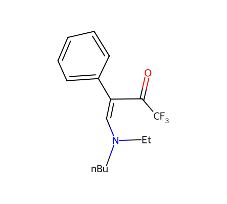 CCCCN(/C=C(\C(=O)C(F)(F)F)c1ccccc1)CC